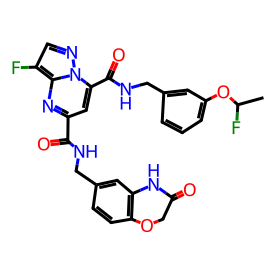 CC(F)Oc1cccc(CNC(=O)c2cc(C(=O)NCc3ccc4c(c3)NC(=O)CO4)nc3c(F)cnn23)c1